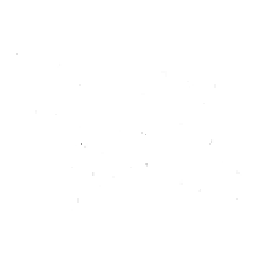 Cc1ccc(S(=O)(=O)N2C[C@@H]3C[C@@H]3[C@H]2C(=O)N(Cc2ccc3ncoc3c2)C2CCC(C)(C)CC2)cc1